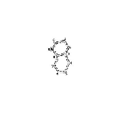 [c]1ccc2[c]cccc2n1